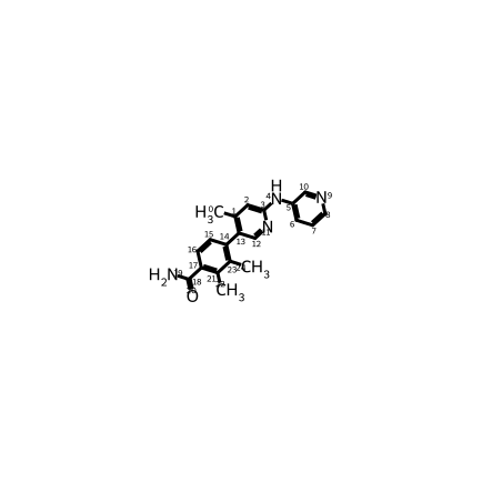 Cc1cc(Nc2cccnc2)ncc1-c1ccc(C(N)=O)c(C)c1C